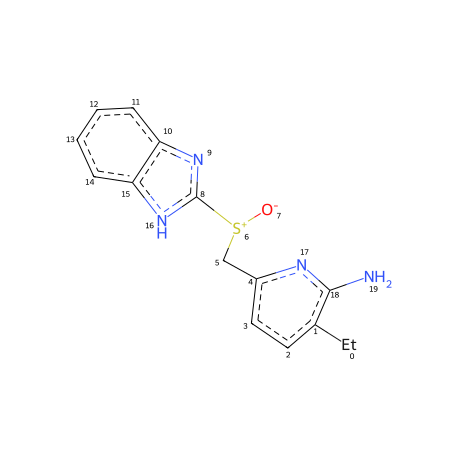 CCc1ccc(C[S+]([O-])c2nc3ccccc3[nH]2)nc1N